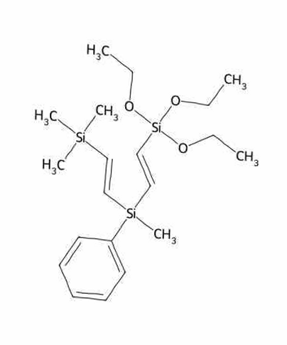 CCO[Si](C=C[Si](C)(C=C[Si](C)(C)C)c1ccccc1)(OCC)OCC